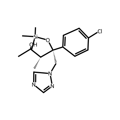 CC(O)[C@@H](C)[C@@](Cn1cncn1)(O[Si](C)(C)C)c1ccc(Cl)cc1